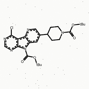 CC(C)(C)OC(=O)N1CCC(c2cnc3c4c(Cl)ncnc4n(C(=O)OC(C)(C)C)c3c2)CC1